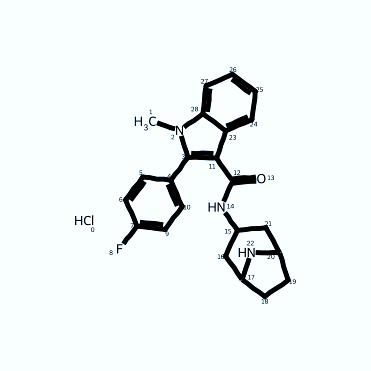 Cl.Cn1c(-c2ccc(F)cc2)c(C(=O)NC2CC3CCC(C2)N3)c2ccccc21